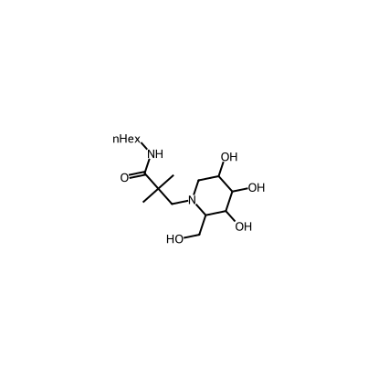 CCCCCCNC(=O)C(C)(C)CN1CC(O)C(O)C(O)C1CO